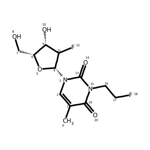 Cc1cn([C@@H]2O[C@H](CO)[C@H](O)C2F)c(=O)n(CCF)c1=O